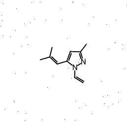 C=Cn1nc(C)cc1C=C(C)C